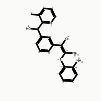 Cc1cccnc1C(O)c1cccc(/C(C#N)=C(/N)Sc2ccccc2N)c1